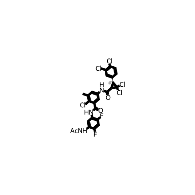 CC(=O)Nc1cc(NC(=O)c2cc(NC(=O)C3[C@H](c4ccc(Cl)c(Cl)c4)C3(Cl)Cl)cc(C)c2Cl)c(F)cc1F